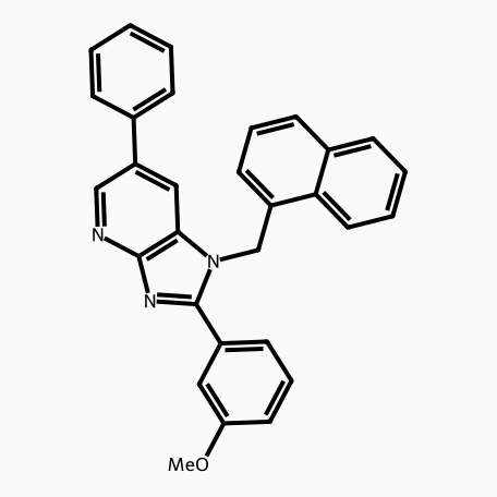 COc1cccc(-c2nc3ncc(-c4ccccc4)cc3n2Cc2cccc3ccccc23)c1